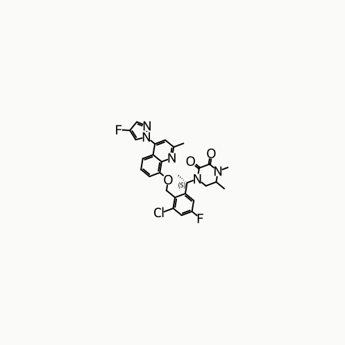 Cc1cc(-n2cc(F)cn2)c2cccc(OCc3c(Cl)cc(F)cc3[C@H](C)N3CC(C)N(C)C(=O)C3=O)c2n1